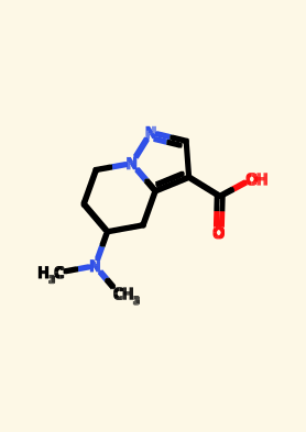 CN(C)C1CCn2ncc(C(=O)O)c2C1